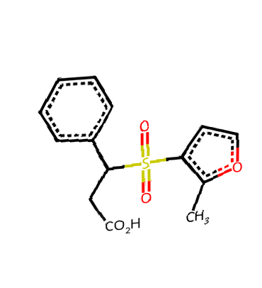 Cc1occc1S(=O)(=O)C(CC(=O)O)c1ccccc1